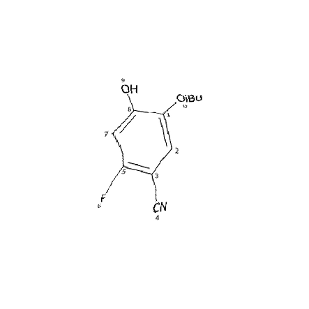 CC(C)COc1cc(C#N)c(F)cc1O